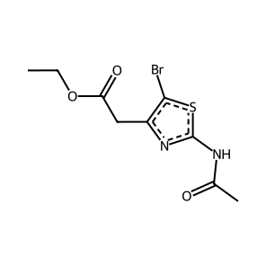 CCOC(=O)Cc1nc(NC(C)=O)sc1Br